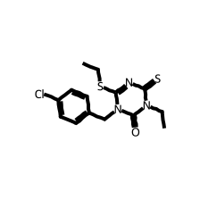 CCSc1nc(=S)n(CC)c(=O)n1Cc1ccc(Cl)cc1